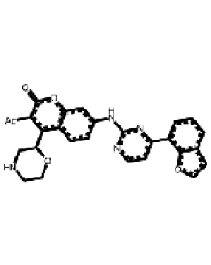 CC(=O)c1c(C2CNCCO2)c2ccc(Nc3nccc(-c4cccc5ccoc45)n3)cc2oc1=O